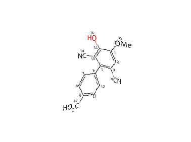 COc1cc(C#N)c(-c2ccc(C(=O)O)cc2)c(C#N)c1O